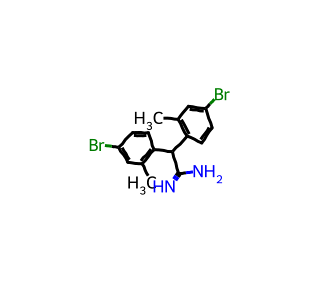 Cc1cc(Br)ccc1C(C(=N)N)c1ccc(Br)cc1C